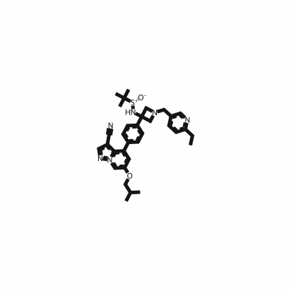 CCc1ccc(CN2CC(N[S+]([O-])C(C)(C)C)(c3ccc(-c4cc(OCC(C)C)cn5ncc(C#N)c45)cc3)C2)cn1